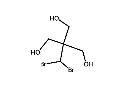 OCC(CO)(CO)C(Br)Br